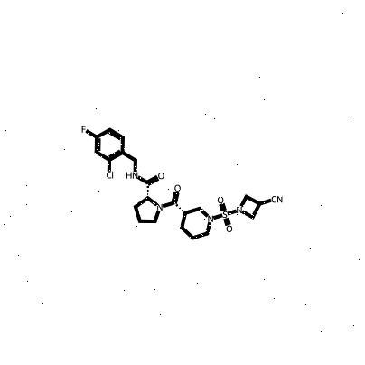 N#CC1CN(S(=O)(=O)N2CCC[C@H](C(=O)N3CCC[C@@H]3C(=O)NCc3ccc(F)cc3Cl)C2)C1